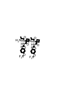 CC(N)C(=O)NC1(C(=O)Nc2nc3ccc(OC(F)(F)F)cc3s2)CCC1.CC(N)C(=O)NC1(C(=O)Nc2nc3ccc(OC(F)(F)F)cc3s2)CCC1